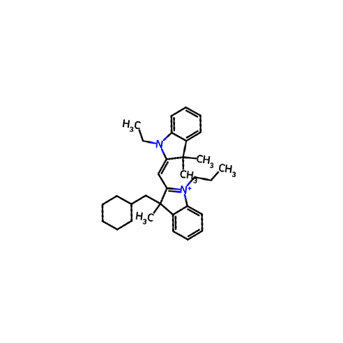 CCC[N+]1=C(C=C2N(CC)c3ccccc3C2(C)C)C(C)(CC2CCCCC2)c2ccccc21